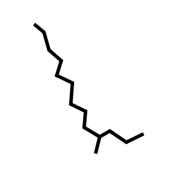 CCCCCCCCCC(C)CCC